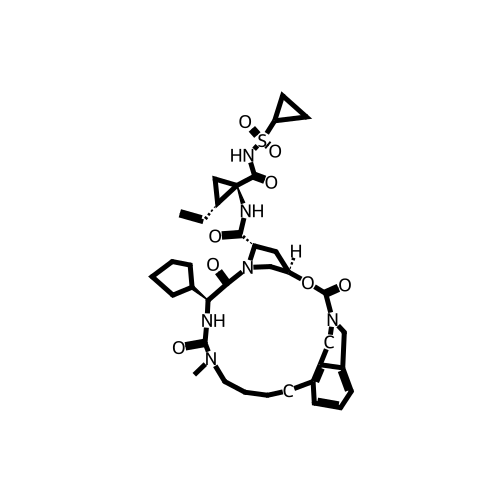 C=C[C@@H]1C[C@]1(NC(=O)[C@@H]1C[C@@H]2CN1C(=O)[C@H](C1CCCC1)NC(=O)N(C)CCCCc1cccc3c1CN(C3)C(=O)O2)C(=O)NS(=O)(=O)C1CC1